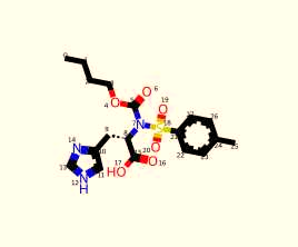 CCCCOC(=O)N([C@@H](Cc1c[nH]cn1)C(=O)O)S(=O)(=O)c1ccc(C)cc1